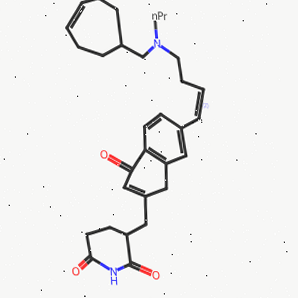 CCCN(CC/C=C\c1ccc2c(c1)CC(CC1CCC(=O)NC1=O)=CC2=O)CC1CCC=CCC1